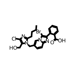 CCCCc1nc(Cl)c(CO)n1Cc1ccc2nc(-c3ccccc3C(=O)O)c(Br)n2c1